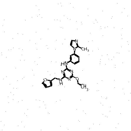 CCOc1nc(NCc2ccco2)nc(Nc2cccc(-n3ccnc3C)c2)n1